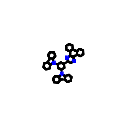 c1ccc2c(c1)c1ccccc1c1nc(-c3cc(-n4c5ccccc5c5ccccc54)cc(-n4c5ccccc5c5ccccc54)c3)cnc21